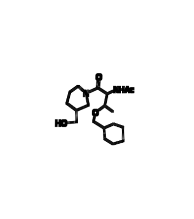 CC(=O)NC(C(=O)N1CCCC(CO)C1)C(C)OCC1CCCCC1